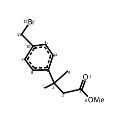 COC(=O)CC(C)(C)c1ccc(CBr)cc1